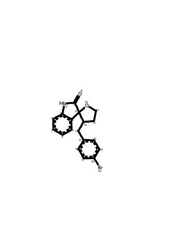 O=C1Nc2ccccc2C12OCCC2Cc1ccc(Br)cc1